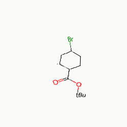 CC(C)(C)OC(=O)C1[CH]CC(Br)CC1